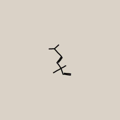 C=CC(C)(C)C=CC(C)C